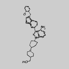 Nc1ncnc2c1c(-c1ccc3c(ccn3Cc3ccccc3Cl)c1)nn2C1CCC(N2CCC(CO)CC2)CC1